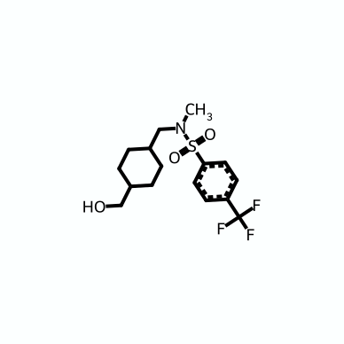 CN(CC1CCC(CO)CC1)S(=O)(=O)c1ccc(C(F)(F)F)cc1